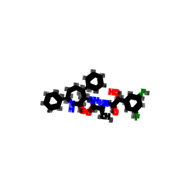 C[C@H](NC(=O)[C@@H](O)c1cc(F)cc(F)c1)C(=O)N[C@@H]1C(=O)N[C@H](c2ccccc2)CC[C@@H]1c1ccccc1